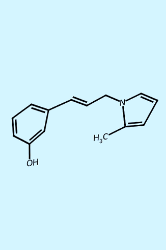 Cc1cccn1C/C=C/c1cccc(O)c1